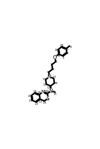 Cc1ccc(OCCCCN2CCC(N(C)C3=Nc4ccccc4CS3)CC2)cc1